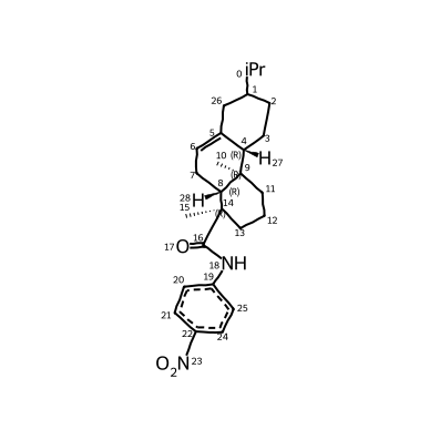 CC(C)C1CC[C@H]2C(=CC[C@@H]3[C@]2(C)CCC[C@@]3(C)C(=O)Nc2ccc([N+](=O)[O-])cc2)C1